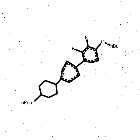 CCCCCC1CCC(c2ccc(-c3ccc(OCCCC)c(F)c3F)cc2)CC1